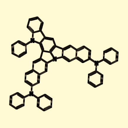 c1ccc(N(c2ccccc2)c2ccc3cc4c5cc6c7ccccc7n(-c7ccccc7)c6c6c7cc8ccc(N(c9ccccc9)c9ccccc9)cc8cc7n(c4cc3c2)c56)cc1